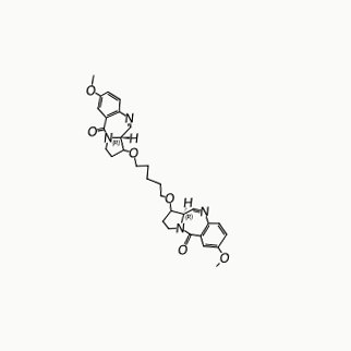 COc1ccc2c(c1)C(=O)N1CCC(OCCCCCOC3CCN4C(=O)c5cc(OC)ccc5N=C[C@H]34)[C@H]1C=N2